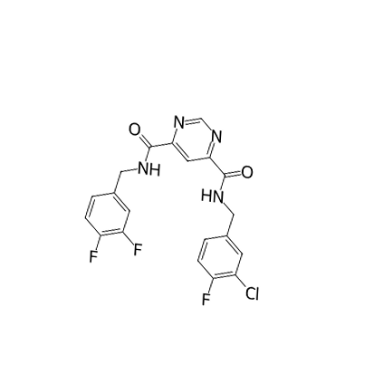 O=C(NCc1ccc(F)c(F)c1)c1cc(C(=O)NCc2ccc(F)c(Cl)c2)ncn1